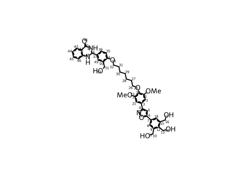 COc1cc(-c2cc(-c3cc(CO)c(CO)c(CO)c3)on2)cc(OC)c1OCCCCCCCOc1ccc(C2NC(=O)c3ccccc3N2)cc1CO